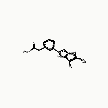 CNC(=O)Cc1cccc(-c2nn3nc(C(C)(C)C)c(Cl)c3[nH]2)c1